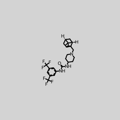 CC1(C)[C@H]2CC=C(CN3CCC(NC(=O)Nc4cc(C(F)(F)F)cc(C(F)(F)F)c4)CC3)[C@H]1C2